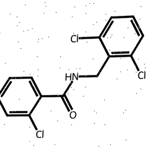 O=C(NCc1c(Cl)cccc1Cl)c1ccccc1Cl